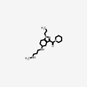 CCCn1nc(C(=O)N2CCCCC2)c2c1CCC(NCCCNC)C2